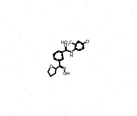 O=C(Nc1ccc(Cl)cc1C(=O)O)c1cccc(C(=NO)C2CCCO2)c1